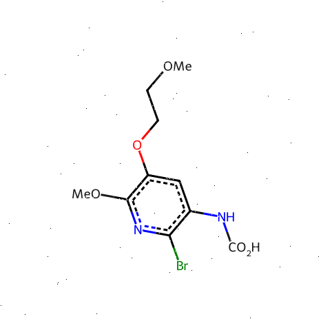 COCCOc1cc(NC(=O)O)c(Br)nc1OC